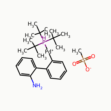 CC(C)(C)[PH]([Pd+][c]1ccccc1-c1ccccc1N)(C(C)(C)C)C(C)(C)C.CS(=O)(=O)[O-]